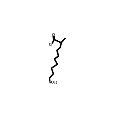 CCCCCCCCCCCCCCCCC(C)C(=O)Cl